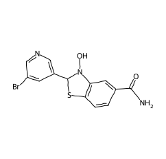 NC(=O)c1ccc2c(c1)N(O)C(c1cncc(Br)c1)S2